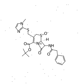 Cn1ccnc1SCC1=C(C(=O)OC(C)(C)C)N2C(=O)C(NC(=O)Cc3ccccc3)[C@@H]2[S+]([O-])C1